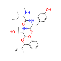 C=C[C@@H](C)[C@H](OC(=O)[C@@H](NC(=O)[C@@H](Cc1ccc(O)cc1)NC(=O)[C@@H](NC)[C@@H](C)CC)C(C)(C)O)c1ccccc1